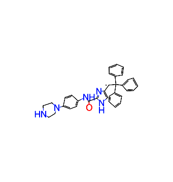 O=C(Nc1ccc(N2CCNCC2)cc1)c1nc([CH]C(c2ccccc2)(c2ccccc2)c2ccccc2)c[nH]1